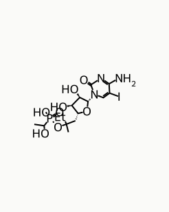 CCC(C)(C[C@H]1O[C@@H](n2cc(I)c(N)nc2=O)[C@H](O)[C@@H]1O)OP(=O)(O)C(C)O